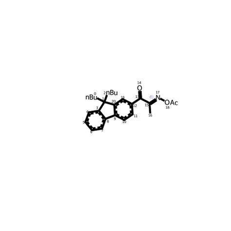 CCCCC1(CCCC)c2ccccc2-c2ccc(C(=O)/C(C)=N/OC(C)=O)cc21